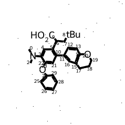 CN(C)c1cc(C(CC(C)(C)C)C(=O)O)c(-c2ccc3c(c2)CCCO3)cc1Oc1ccccc1